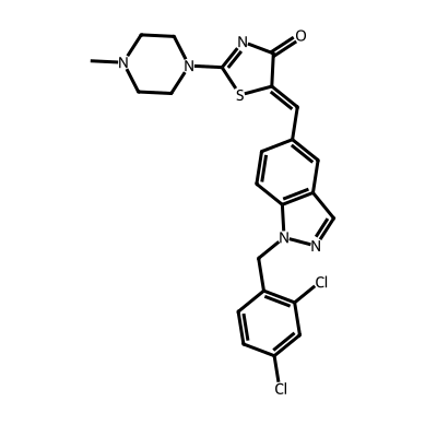 CN1CCN(C2=NC(=O)/C(=C/c3ccc4c(cnn4Cc4ccc(Cl)cc4Cl)c3)S2)CC1